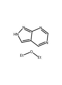 CCOCC.c1ncc2c[nH]nc2n1